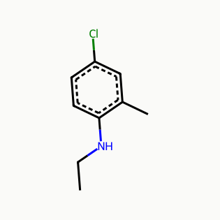 CCNc1ccc(Cl)cc1C